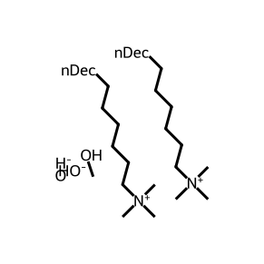 CCCCCCCCCCCCCCCC[N+](C)(C)C.CCCCCCCCCCCCCCCC[N+](C)(C)C.CO.[OH-].[OH-]